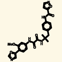 COc1cc(NC(=O)C(=O)NC(C)(C)Cc2ccc(NC(=O)c3ccno3)cc2)ccc1-c1cnco1